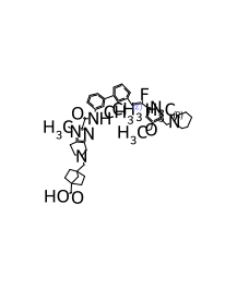 COc1cc(/C(F)=C/c2cccc(-c3cccc(NC(=O)c4nc5c(n4C)CCN(CC46CCC(C(=O)O)(CC4)C6)C5)c3C)c2C)ncc1CN1CCCC[C@H]1C